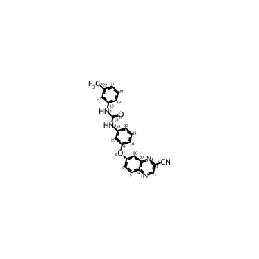 N#Cc1cnc2ccc(Oc3cccc(NC(=O)Nc4cccc(C(F)(F)F)c4)c3)cc2n1